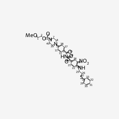 COCCOC(=O)N1CCN(c2ccc(C(=O)NS(=O)(=O)c3ccc(NCCSc4ccccc4)c([N+](=O)[O-])c3)cc2)CC1